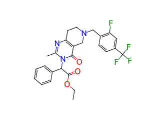 CCOC(=O)C(c1ccccc1)n1c(C)nc2c(c1=O)CN(Cc1ccc(C(F)(F)F)cc1F)CC2